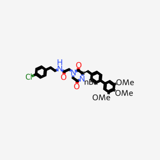 CCCCN1C(=O)CN(CC(=O)NCCc2ccc(Cl)cc2)C(=O)[C@H]1Cc1ccc(-c2cc(OC)c(OC)c(OC)c2)cc1